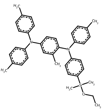 CCO[Si](C)(C)c1ccc(N(c2ccc(C)cc2)c2ccc(N(c3ccc(C)cc3)c3ccc(C)cc3)cc2C)cc1